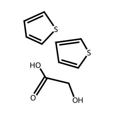 O=C(O)CO.c1ccsc1.c1ccsc1